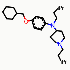 CC(C)CCN1CCC(N(CCC(C)C)c2ccc(OCC3CCCCC3)cc2)CC1